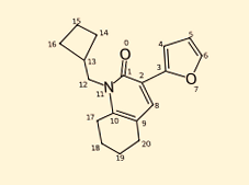 O=c1c(-c2ccco2)cc2c(n1CC1CCC1)CCCC2